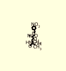 CC(O)C1C(=O)NC1(C)CC(=O)C(=[N+]=[N-])C(=O)OCc1ccc([N+](=O)[O-])cc1